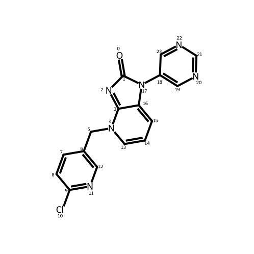 O=c1nc2n(Cc3ccc(Cl)nc3)cccc-2n1-c1cncnc1